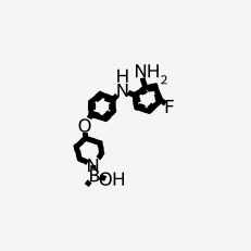 CB(O)N1CCC(Oc2ccc(Nc3ccc(F)cc3N)cc2)CC1